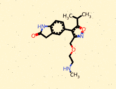 CNCCOCc1noc(C(C)C)c1-c1ccc2c(c1)CC(=O)N2